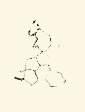 C=C1CCC2C(CN3CCOCC3)C([C@]3(C)Cc4cn[nH]c4C[C@@H]3CO)CCC12C